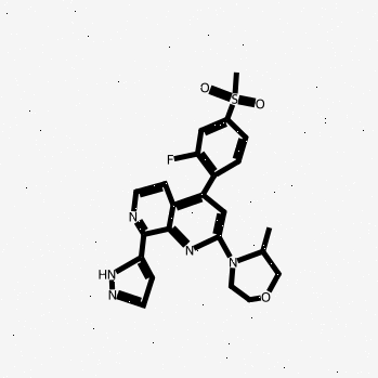 CC1COCCN1c1cc(-c2ccc(S(C)(=O)=O)cc2F)c2ccnc(-c3ccn[nH]3)c2n1